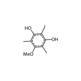 COc1c(C)c(O)c(I)c(O)c1C